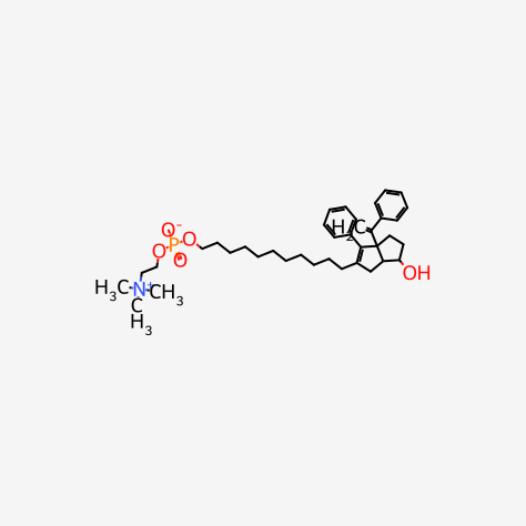 C=C(c1ccccc1)C12CCC(O)C1CC(CCCCCCCCCCCOP(=O)([O-])OCC[N+](C)(C)C)=C2c1ccccc1